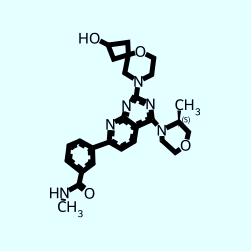 CNC(=O)c1cccc(-c2ccc3c(N4CCOC[C@@H]4C)nc(N4CCOC5(CC(O)C5)C4)nc3n2)c1